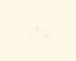 NCCCn1c(Nc2c(Cl)cccc2Cl)nc2cc(C(=O)Nc3cc(Cl)ccn3)ccc21